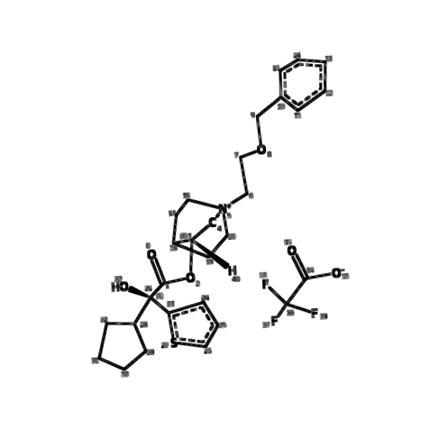 O=C(O[C@H]1C[N+]2(CCOCc3ccccc3)CCC1CC2)[C@](O)(c1cccs1)C1CCCC1.O=C([O-])C(F)(F)F